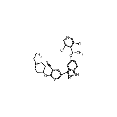 CCN1CCC(Oc2ncc(-c3n[nH]c4ccc(O[C@H](C)c5c(Cl)cncc5Cl)cc34)cc2C#N)CC1